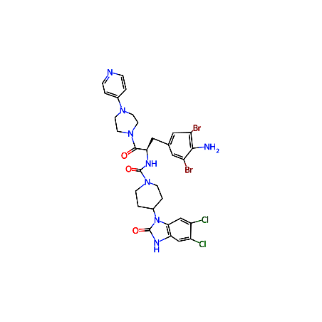 Nc1c(Br)cc(C[C@@H](NC(=O)N2CCC(n3c(=O)[nH]c4cc(Cl)c(Cl)cc43)CC2)C(=O)N2CCN(c3ccncc3)CC2)cc1Br